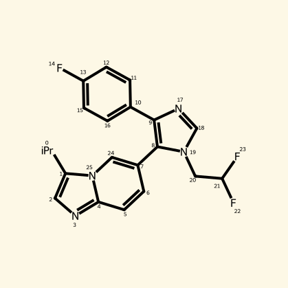 CC(C)c1cnc2ccc(-c3c(-c4ccc(F)cc4)ncn3CC(F)F)cn12